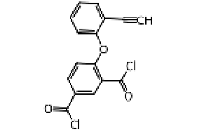 C#Cc1ccccc1Oc1ccc(C(=O)Cl)cc1C(=O)Cl